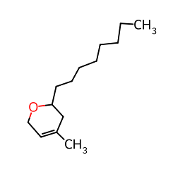 CCCCCCCCC1CC(C)=CCO1